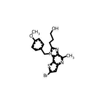 COc1ccc(Cn2c(CCCO)nc3c(C)nc4cc(Br)sc4c32)cc1